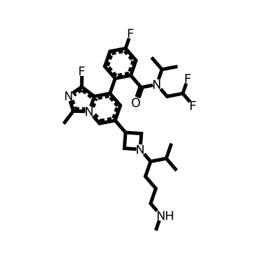 CNCCCC(C(C)C)N1CC(c2cc(-c3ccc(F)cc3C(=O)N(CC(F)F)C(C)C)c3c(F)nc(C)n3c2)C1